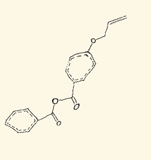 C=CCOc1ccc(C(=O)OC(=O)c2ccccc2)cc1